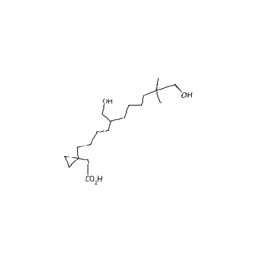 CC(C)(CO)CCCCC(CO)CCCCC1(CC(=O)O)CC1